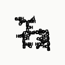 COCC(O)COCC(COCC(O)CC(C)(C)Oc1ccc(S(=O)(=O)c2ccc(C(C)(C)OCC(CO)OCC(COCC(CO)OCC(O)COCC(COC)OCC(O)COC)OCC(O)COCC(COCC(COC)OCC(O)COC)OCC(O)COI)cc2)cc1)OCC(COCC(O)COC)OCC(O)COC